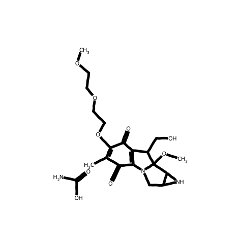 COCCOCCOC1=C(C)C(=O)C2=C(C1=O)C(CO)C1(OC)C3NC3CN21.NC(=O)O